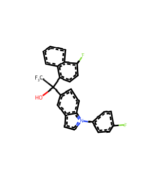 OC(c1ccc2c(ccn2-c2ccc(F)cc2)c1)(c1ccc(F)c2ccccc12)C(F)(F)F